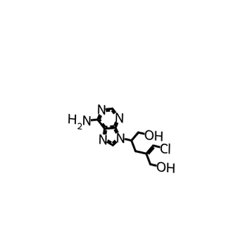 Nc1ncnc2c1ncn2C(CO)CC(=CCl)CO